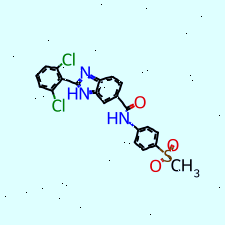 CS(=O)(=O)c1ccc(NC(=O)c2ccc3nc(-c4c(Cl)cccc4Cl)[nH]c3c2)cc1